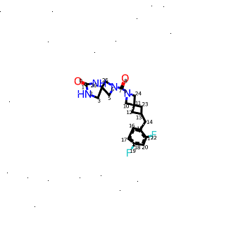 O=C1NCC2(CN(C(=O)N3CC4(CC(Cc5ccc(F)cc5F)C4)C3)C2)N1